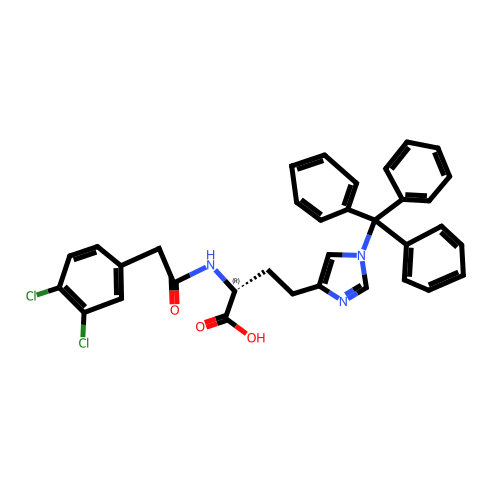 O=C(Cc1ccc(Cl)c(Cl)c1)N[C@H](CCc1cn(C(c2ccccc2)(c2ccccc2)c2ccccc2)cn1)C(=O)O